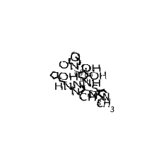 Cc1nc(NCCC2(O)CCCC2)nc(N[C@@H]2C[C@H](CN3CCOCC3=O)[C@@H](O)[C@H]2O)c1-c1nc2c(C)nccc2s1